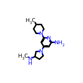 CNC1CCN(c2cc(N)nc(N3CCC(C)CC3)c2)C1